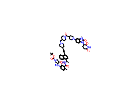 Cc1ccc(N[C@H]2CN(C(=O)OC(C)(C)C)C[C@H]2O)cc1C(=O)N[C@H](C)c1ccc(C#CC2CCN(CC3CCN(C(=O)C4CCN(c5ccc6c(c5)n(C)c(=O)n6C5CCC(=O)NC5=O)CC4)CC3)CC2)c2ccccc12